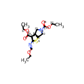 CCO/C=N/c1sc2c(c1C(=O)OCC)CN(C(=O)OCC)C2